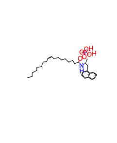 CCCCCCCC/C=C\CCCCCCCC(=O)NC(COP(=O)(O)O)Cc1cccc2ccccc12